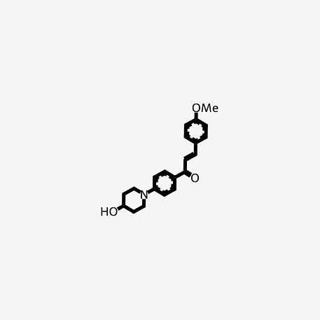 COc1ccc(C=CC(=O)c2ccc(N3CCC(O)CC3)cc2)cc1